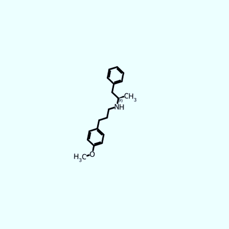 COc1ccc(CCCN[C@H](C)Cc2ccccc2)cc1